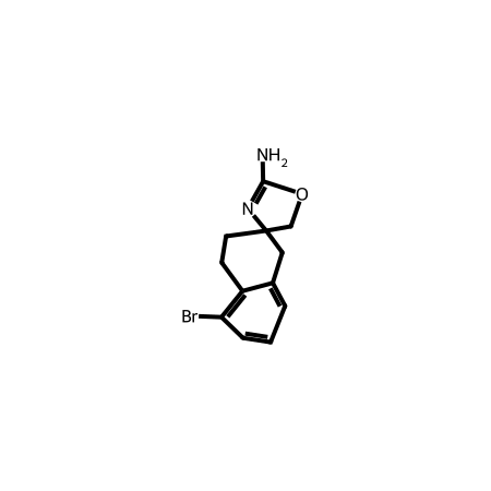 NC1=NC2(CCc3c(Br)cccc3C2)CO1